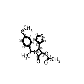 COc1ccc(C(C)N2C(=O)C(OC(C)=O)C2c2ccsc2)cc1